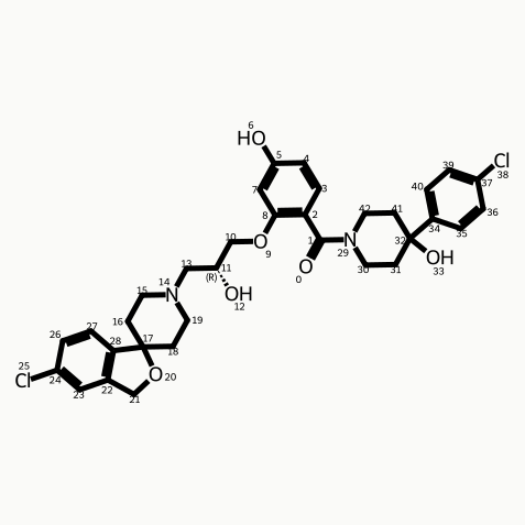 O=C(c1ccc(O)cc1OC[C@H](O)CN1CCC2(CC1)OCc1cc(Cl)ccc12)N1CCC(O)(c2ccc(Cl)cc2)CC1